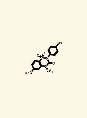 COc1ccc2c(c1)N(C)C(=O)N(c1ccc(C(C)C)cc1)S2(=O)=O